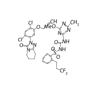 C#CCOc1cc(-n2nc3n(c2=O)CCCC3)c(Cl)cc1Cl.COc1nc(C)nc(NC(=O)NS(=O)(=O)c2ccccc2CCC(F)(F)F)n1